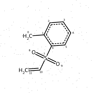 [CH2]c1ccccc1S(=O)(=O)C=C